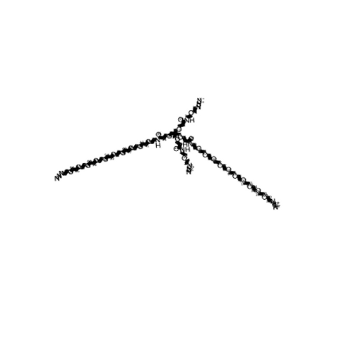 [N-]=[N+]=NCCOCCNC(=O)CCOCC(COCCC(=O)NCCOCCN=[N+]=[N-])(COCCC(=O)NCCOCCOCCOCCOCCOCCOCCOCCOCCOCCOCCN=[N+]=[N-])COCCC(=O)NCCOCCOCCOCCOCCOCCOCCOCCOCCOCCOCCN=[N+]=[N-]